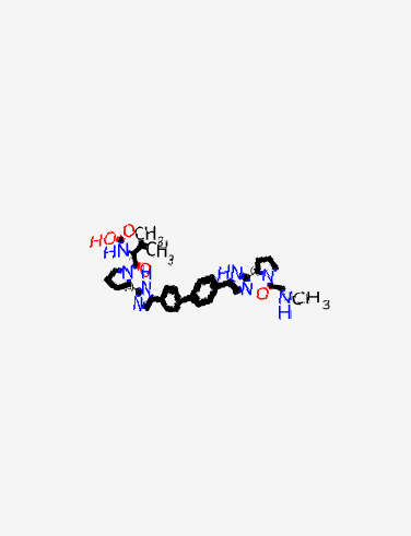 CNCC(=O)N1CCC[C@H]1c1ncc(-c2ccc(-c3ccc(-c4cnc([C@@H]5CCCN5C(=O)[C@@H](NC(=O)O)C(C)C)[nH]4)cc3)cc2)[nH]1